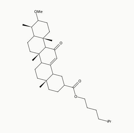 COC1CC[C@@]2(C)C(CC[C@@]3(C)C4CC[C@@]5(C)CCC(C(=O)OCCCCC(C)C)CC5C4=CC(=O)C32)[C@H]1C